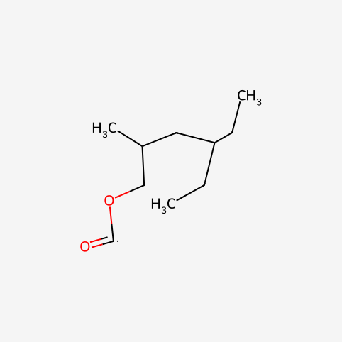 CCC(CC)CC(C)CO[C]=O